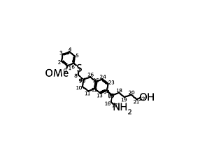 COc1ccccc1SC[C@@H]1CCc2cc([C@H](CN)CCCCO)ccc2C1